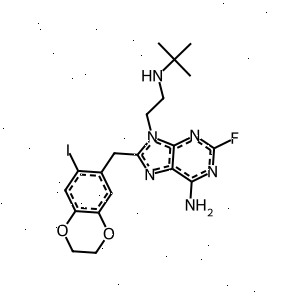 CC(C)(C)NCCn1c(Cc2cc3c(cc2I)OCCO3)nc2c(N)nc(F)nc21